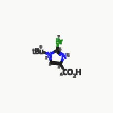 CC(C)(C)n1cc(C(=O)O)nc1Br